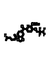 C=C(/C=C\C=C(/C)F)[C@]12CCN(C(=O)c3ccc(OCC(F)(F)C(F)F)c(OC)n3)CC1OCO2